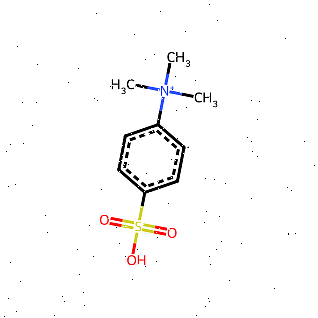 C[N+](C)(C)c1[c]cc(S(=O)(=O)O)cc1